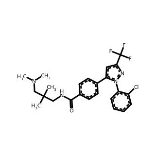 CN(C)CC(C)(C)CNC(=O)c1ccc(-c2cc(C(F)(F)F)nn2-c2ccccc2Cl)cc1